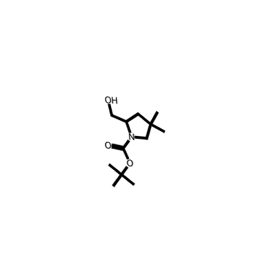 CC1(C)CC(CO)N(C(=O)OC(C)(C)C)C1